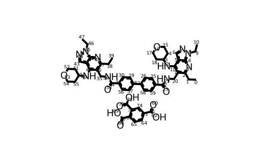 CCc1nc2c(cnn2CC)c(NC2CCOCC2)c1CNC(=O)c1ccc(-c2ccc(C(=O)NCc3c(CC)nc4c(cnn4CC)c3NC3CCOCC3)cc2)cc1.O=C(O)c1ccc(C(=O)O)c(C(=O)O)c1